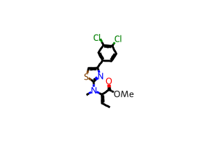 CC=C(C(=O)OC)N(C)c1nc(-c2ccc(Cl)c(Cl)c2)cs1